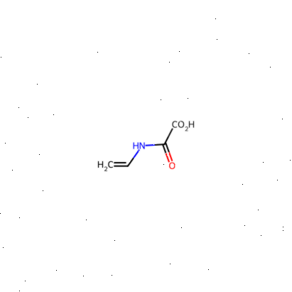 C=CNC(=O)C(=O)O